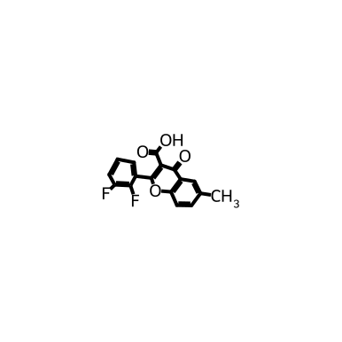 Cc1ccc2oc(-c3cccc(F)c3F)c(C(=O)O)c(=O)c2c1